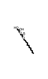 CCCCCCCCCCCCOCC(COCC(O)CO)OC